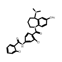 CC(=O)Oc1ccc2c(c1)C(N(C)C)CCCN2C(=O)c1ccc(NC(=O)c2ccccc2Cl)cc1Cl